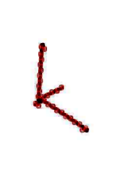 COCCOCCOCCOCCOc1c(OCCOCCOCCOCCOCCOCCOCCOCCOCCC(=O)OC(C)(C)C)cc(C(=O)OC)cc1OCCOCCOCCOCCOCCOCCOCCOCCOCCC(=O)OC(C)(C)C